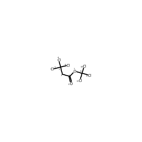 O=C(CC(Cl)(Cl)Cl)OC(Cl)(Cl)Cl